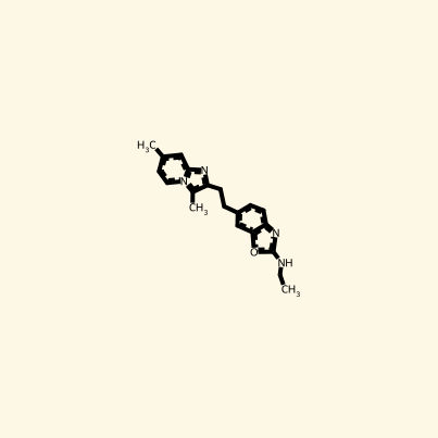 CCNc1nc2ccc(CCc3nc4cc(C)ccn4c3C)cc2o1